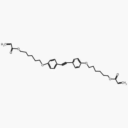 C=CC(=O)OCCCCCCOc1ccc(C#Cc2ccc(OCCCCCCOC(=O)C=C)cc2)cc1